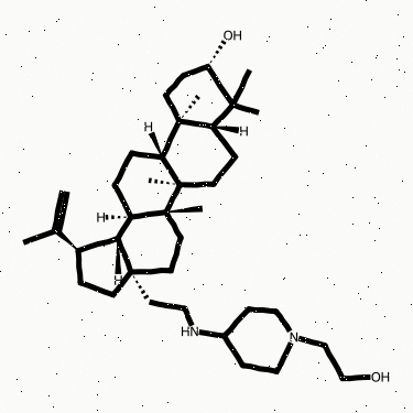 C=C(C)[C@@H]1CC[C@]2(CCNC3CCN(CCO)CC3)CC[C@]3(C)[C@H](CC[C@@H]4[C@@]5(C)CC[C@H](O)C(C)(C)[C@@H]5CC[C@]43C)[C@@H]12